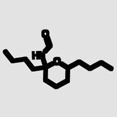 CCCCC1CCCC(CCCC)(NC=O)O1